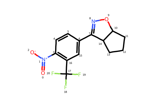 O=[N+]([O-])c1ccc(C2=NOC3CCCC23)cc1C(F)(F)F